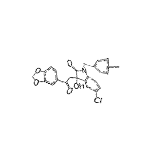 Cc1ccc(CN2C(=O)C(O)(CC(=O)c3ccc4c(c3)OCO4)c3cc(Cl)ccc32)cc1